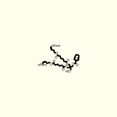 CCCCC/C=C\CCOC(=O)CCCCC(=O)OCC(CO)(COC(=O)CCCCC(=O)OCC/C=C\CCCCC)COC(=O)C1CC2CCC(C1)O2